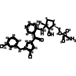 NS(=O)(=O)OC[C@H]1CC[C@@](F)(Nc2ncncc2C(=O)c2cc(Cl)n(Cc3cccc(Cl)c3)c2)[C@@H]1O